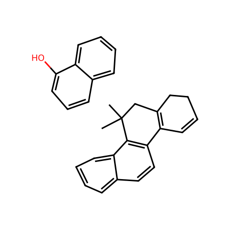 CC1(C)CC2=C(C=CCC2)c2ccc3ccccc3c21.Oc1cccc2ccccc12